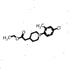 CCOC(=O)CC1CCN(c2ccc(Cl)cc2C)CC1